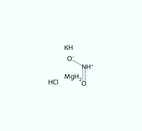 Cl.O=[NH+][O-].[KH].[MgH2]